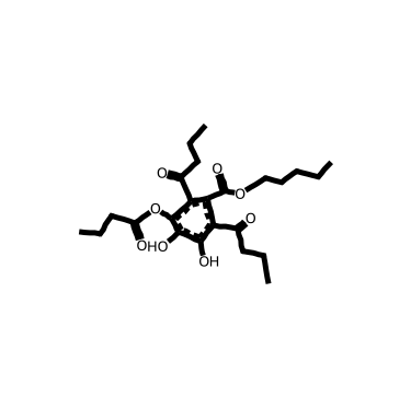 CCCCCOC(=O)c1c(C(=O)CCC)c(O)c(O)c(OC(=O)CCC)c1C(=O)CCC